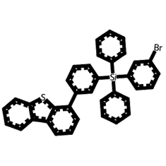 Brc1cccc([Si](c2ccccc2)(c2ccccc2)c2cccc(-c3cccc4c3sc3ccccc34)c2)c1